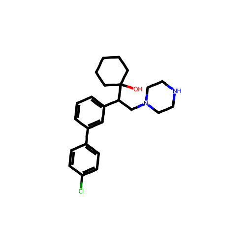 OC1(C(CN2CCNCC2)c2cccc(-c3ccc(Cl)cc3)c2)CCCCC1